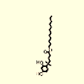 CCCCCCCCCCCCOC(=O)CCCC(C)(C)c1ccc(O)cc1O